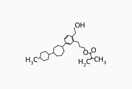 C=C(C)C(=O)OCCCc1cc(C2CCCC(C3CCC(C)CC3)CC2)ccc1CCO